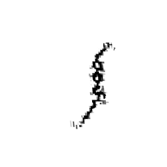 CCCCCCCCCC(O)c1ccc(-c2ccc(C3CCC(CCCCC)CC3)cc2)nc1F